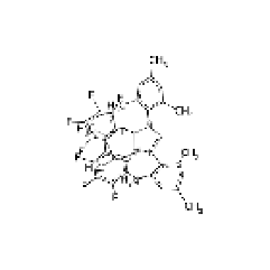 Cc1cc(C)c(N2C=[N+](c3c(C)cc(C)cc3C)C(CC(C)c3c(F)c(F)c(F)c(F)c3F)C2CC(C)c2c(F)c(F)c(F)c(F)c2F)c(C)c1